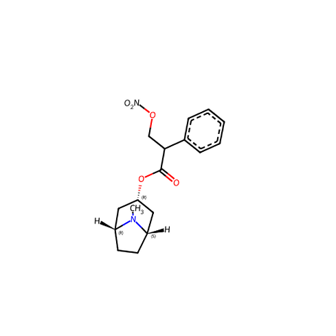 CN1[C@@H]2CC[C@H]1C[C@@H](OC(=O)C(CO[N+](=O)[O-])c1ccccc1)C2